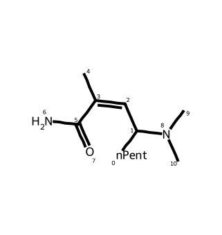 CCCCCC(C=C(C)C(N)=O)N(C)C